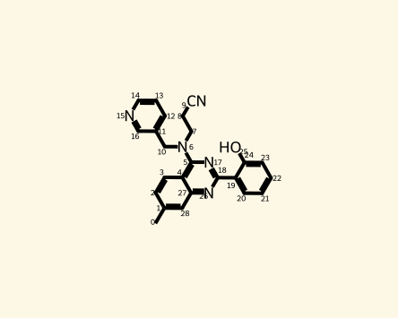 Cc1ccc2c(N(CCC#N)Cc3cccnc3)nc(-c3ccccc3O)nc2c1